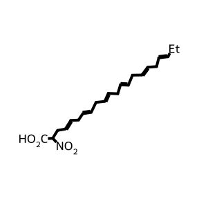 CC/C=C/C/C=C/C/C=C/C/C=C/C/C=C/C/C=C/CC(C(=O)O)[N+](=O)[O-]